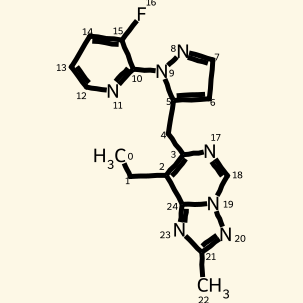 CCc1c(Cc2ccnn2-c2ncccc2F)ncn2nc(C)nc12